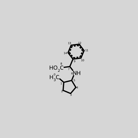 CC1CCCC1NC(C(=O)O)c1ccccc1